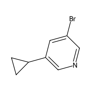 Brc1cncc(C2CC2)c1